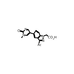 CC(=O)c1nn(CC(=O)O)c2ccc(-c3cnc(=O)n(C)c3)cc12